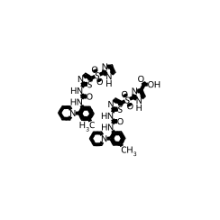 Cc1ccc(NC(=O)Nc2ncc(S(=O)(=O)c3nc(C(=O)O)c[nH]3)s2)c(N2CCCCC2)c1.Cc1ccc(NC(=O)Nc2ncc(S(=O)(=O)c3ncc[nH]3)s2)c(N2CCCCC2)c1